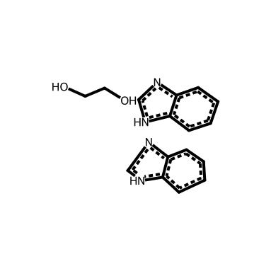 OCCO.c1ccc2[nH]cnc2c1.c1ccc2[nH]cnc2c1